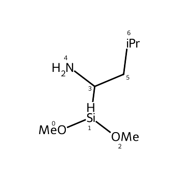 CO[SiH](OC)C(N)CC(C)C